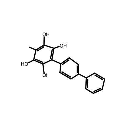 Cc1c(O)c(O)c(-c2ccc(-c3ccccc3)cc2)c(O)c1O